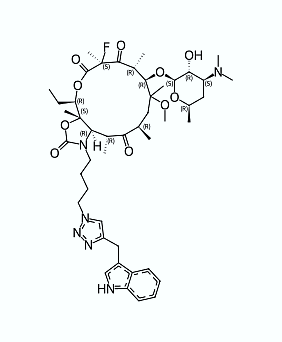 CC[C@H]1OC(=O)[C@@](C)(F)C(=O)[C@H](C)[C@@H](O[C@@H]2O[C@H](C)C[C@H](N(C)C)[C@H]2O)C(C)(OC)C[C@@H](C)C(=O)[C@H](C)[C@H]2N(CCCCn3cc(Cc4c[nH]c5ccccc45)nn3)C(=O)O[C@]12C